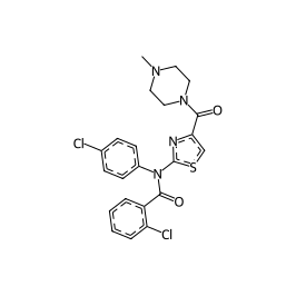 CN1CCN(C(=O)c2csc(N(C(=O)c3ccccc3Cl)c3ccc(Cl)cc3)n2)CC1